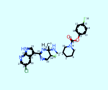 CC1(NC[C@H]2CCCN(C(=O)Oc3ccc(F)cc3)C2)N=C(c2c[nH]c3ncc(Cl)cc23)N=CC1F